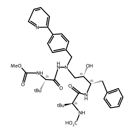 COC(=O)N[C@H](C(=O)NN(Cc1ccc(-c2ccccn2)cc1)C[C@H](O)[C@H](Cc1ccccc1)NC(=O)[C@@H](NC(=O)O)C(C)(C)C)C(C)(C)C